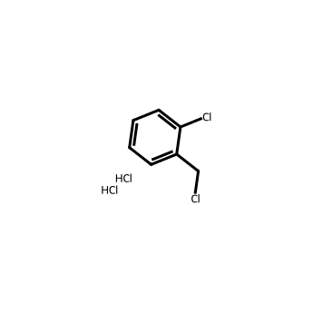 Cl.Cl.ClCc1ccccc1Cl